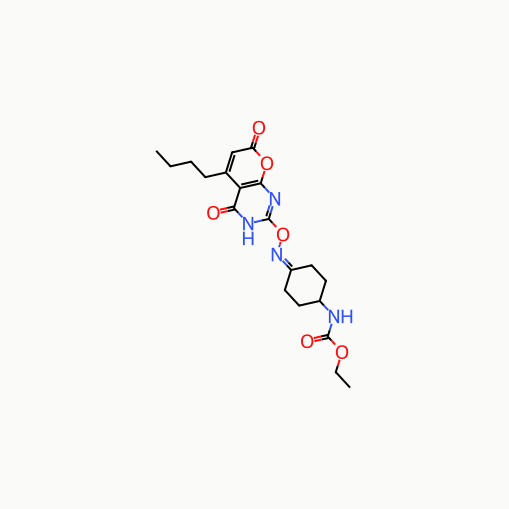 CCCCc1cc(=O)oc2nc(ON=C3CCC(NC(=O)OCC)CC3)[nH]c(=O)c12